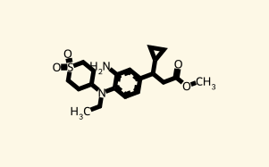 CCN(c1ccc(C(CC(=O)OC)C2CC2)cc1N)C1CCS(=O)(=O)CC1